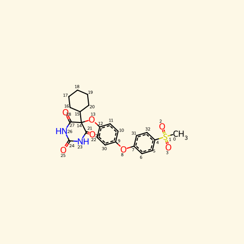 CS(=O)(=O)c1ccc(Oc2ccc(OC3(C4CCCCC4)C(=O)NC(=O)NC3=O)cc2)cc1